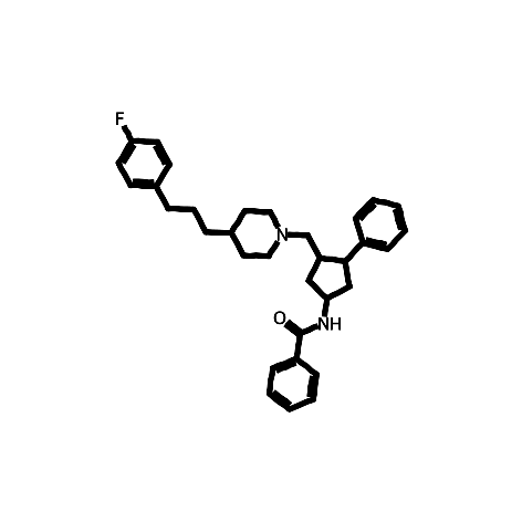 O=C(NC1CC(CN2CCC(CCCc3ccc(F)cc3)CC2)C(c2ccccc2)C1)c1ccccc1